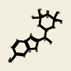 CN(c1nc2ccc(Br)cc2s1)C1CC(C)(C)NC(C)(C)C1